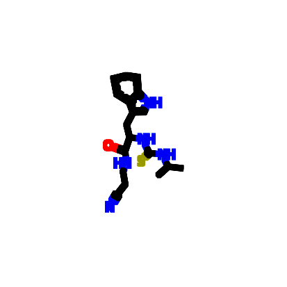 CC(C)NC(=S)NC(Cc1c[nH]c2ccccc12)C(=O)NCCC#N